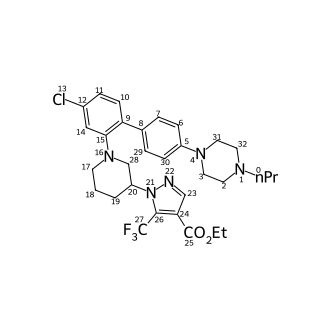 CCCN1CCN(c2ccc(-c3ccc(Cl)cc3N3CCCC(n4ncc(C(=O)OCC)c4C(F)(F)F)C3)cc2)CC1